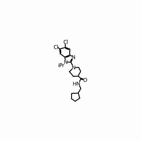 CC(C)n1c(N2CCC(C(=O)NCC3CCCC3)CC2)nc2cc(Cl)c(Cl)cc21